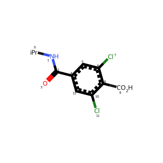 CC(C)NC(=O)c1cc(Cl)c(C(=O)O)c(Cl)c1